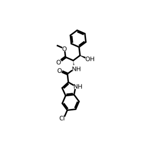 COC(=O)[C@@H](NC(=O)c1cc2cc(Cl)ccc2[nH]1)[C@H](O)c1ccccc1